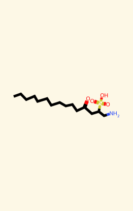 CCCCCCCCCCCC(=O)CC(CN)S(=O)(=O)O